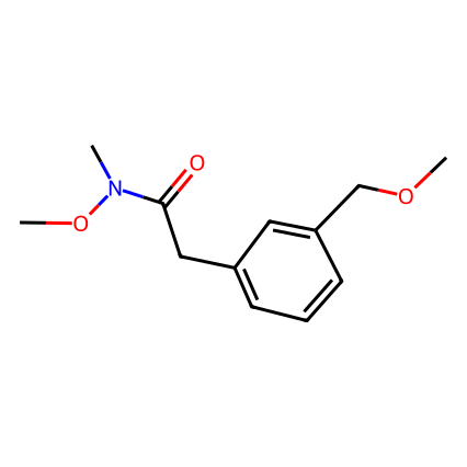 COCc1cccc(CC(=O)N(C)OC)c1